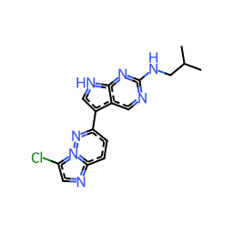 CC(C)CNc1ncc2c(-c3ccc4ncc(Cl)n4n3)c[nH]c2n1